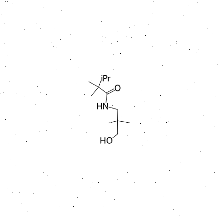 CC(C)C(C)(C)C(=O)NCC(C)(C)CO